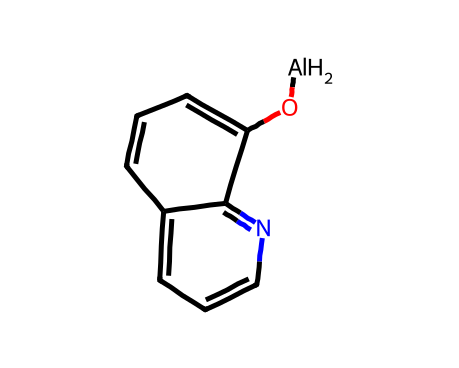 [AlH2][O]c1cccc2cccnc12